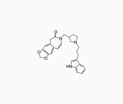 O=C1Cc2cc3c(cc2C=CN1CC1CCN(CCCc2c[nH]c4ccccc24)C1)OCO3